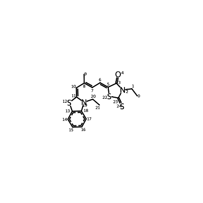 CCN1C(=O)C(=CC=C(C)C=C2Sc3ccccc3N2CC)SC1=S